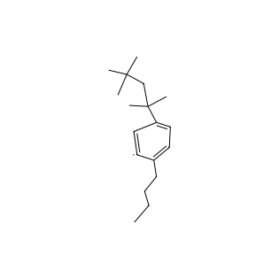 CCCCc1[c]cc(C(C)(C)CC(C)(C)C)cc1